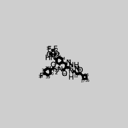 C[C@H](Oc1cc(-c2n[nH]c(Nc3cc(C4CCC4)on3)c2C(N)=O)ccc1NS(=O)(=O)C(F)F)c1ccc(F)cc1